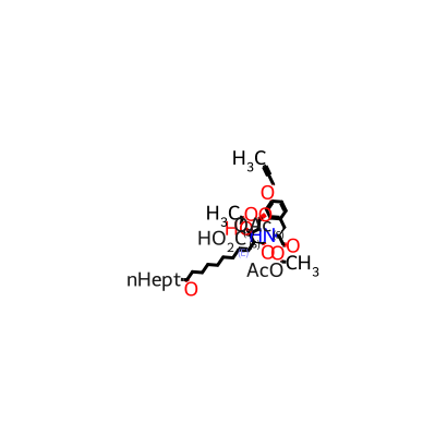 CC#CCOc1ccc(C[C@H](NC(=O)[C@@H](/C=C/CCCCCCC(=O)CCCCCCC)[C@@](O)(CC(=O)OC(C)OC(C)=O)C(=O)O)C(=O)OC(C)OC(C)=O)cc1